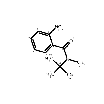 CN(C(=O)c1ccccc1[N+](=O)[O-])C(C)(C)C#N